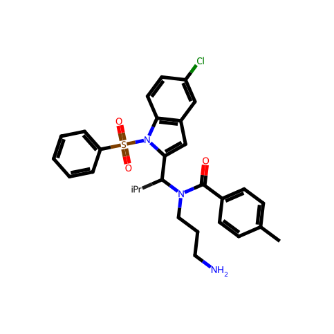 Cc1ccc(C(=O)N(CCCN)C(c2cc3cc(Cl)ccc3n2S(=O)(=O)c2ccccc2)C(C)C)cc1